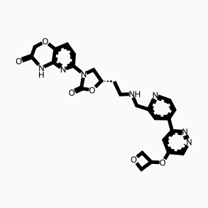 O=C1COc2ccc(N3C[C@H](CCNCc4cc(-c5cc(OC6COC6)cnn5)ccn4)OC3=O)nc2N1